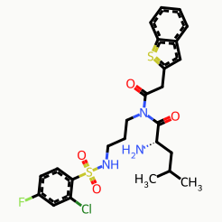 CC(C)C[C@H](N)C(=O)N(CCCNS(=O)(=O)c1ccc(F)cc1Cl)C(=O)Cc1cc2ccccc2s1